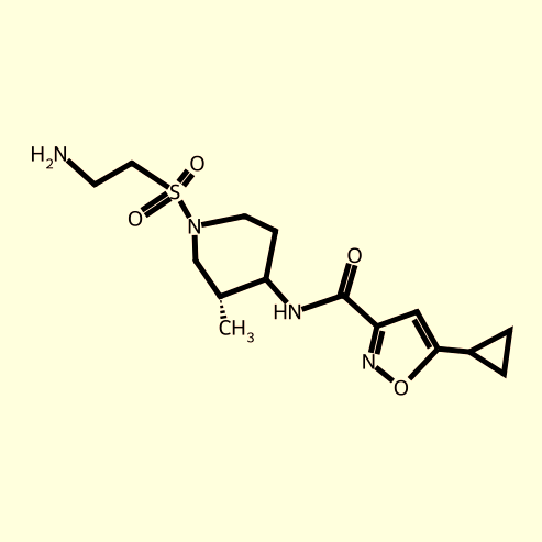 C[C@@H]1CN(S(=O)(=O)CCN)CCC1NC(=O)c1cc(C2CC2)on1